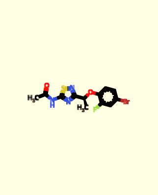 CC(=O)Nc1nc([C@H](C)Oc2ccc(Br)cc2F)ns1